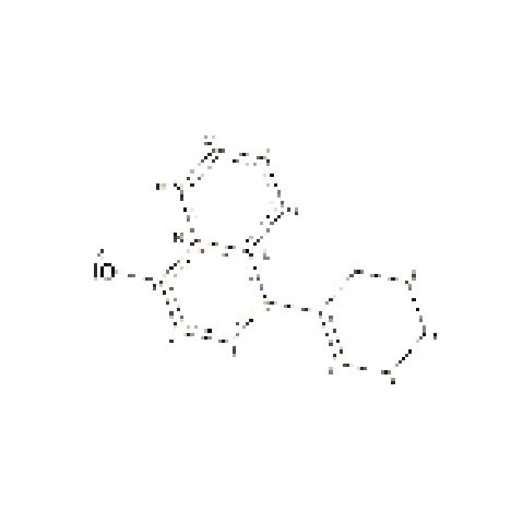 Oc1ccc(C2=CCCCC2)c2cccnc12